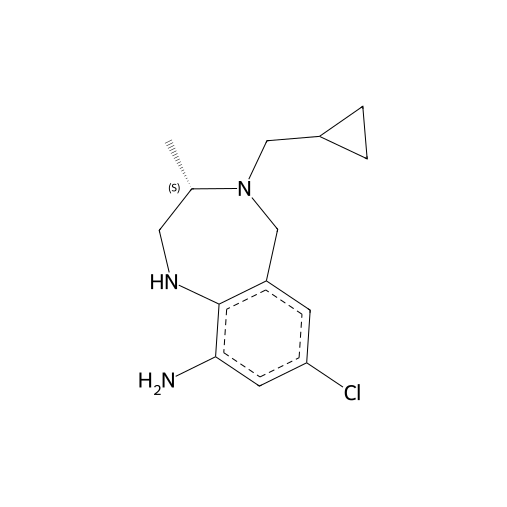 C[C@H]1CNc2c(N)cc(Cl)cc2CN1CC1CC1